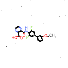 CCOc1cccc(-c2cc(F)c(NC(=O)c3nccnc3C(=O)O)c(F)c2)c1